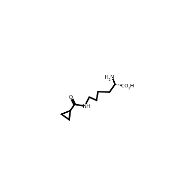 N[C@@H](CCCCNC(=O)C1CC1)C(=O)O